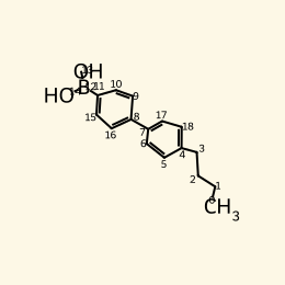 CCCCc1ccc(-c2ccc(B(O)O)cc2)cc1